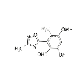 COc1cc(O)c(C=O)c(-c2nc(C)no2)c1C